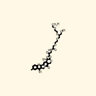 CCOCC(COCCOCC(=O)NCC(=O)CO[C@]1(CC)C(=O)OCc2c1cc1n(c2=O)Cc2c-1nc1ccc(C)cc1c2CC)OCCOCC(=O)O